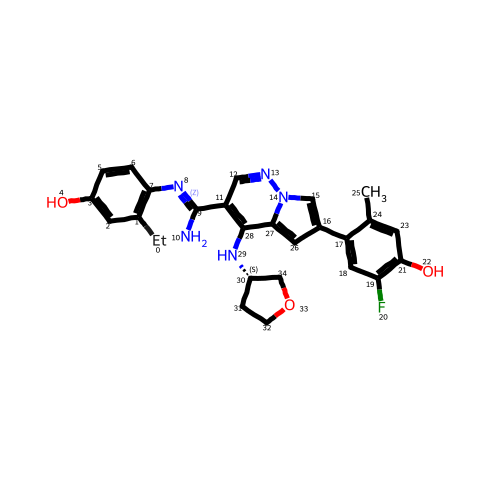 CCc1cc(O)ccc1/N=C(\N)c1cnn2cc(-c3cc(F)c(O)cc3C)cc2c1N[C@H]1CCOC1